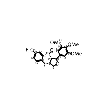 COc1cc(C2OC[C@H](Cc3ccc(C(F)(F)F)cc3)[C@@H]2CO)cc(OC)c1OC